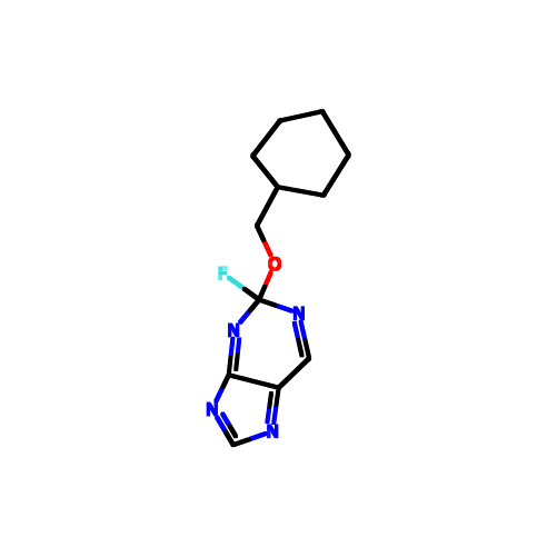 FC1(OCC2CCCCC2)N=CC2=NC=NC2=N1